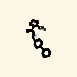 Cc1ncsc1C(=O)/C=C/c1ccc(-c2ccccc2)cc1